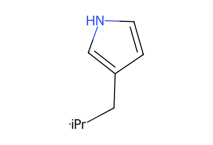 C[C](C)Cc1cc[nH]c1